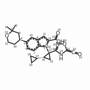 CC1(C)C[C@@H](c2ccc3c(c2)cc(C(=O)O)n3[C@@]2(C3=NOC(=C=O)N3)C[C@@H]2C2CC2)CCO1